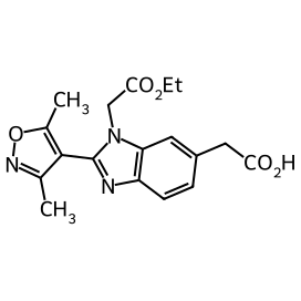 CCOC(=O)Cn1c(-c2c(C)noc2C)nc2ccc(CC(=O)O)cc21